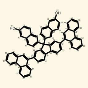 Oc1ccc2cc(C3(c4ccc5cc(O)ccc5c4)c4cc(-c5cc6ccccc6c6ccccc56)ccc4-c4ccc(-c5cc6ccccc6c6ccccc56)cc43)ccc2c1